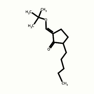 CCCCCC1CCC(=COC(C)(C)C)C1=O